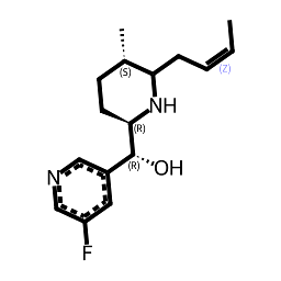 C/C=C\CC1N[C@@H]([C@H](O)c2cncc(F)c2)CC[C@@H]1C